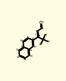 CC(C)(C)/C(=C\C=O)c1ccc2ccccc2c1